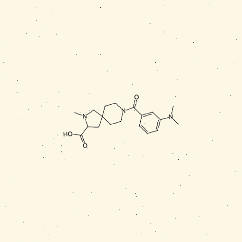 CN(C)c1cccc(C(=O)N2CCC3(CC2)CC(C(=O)O)N(C)C3)c1